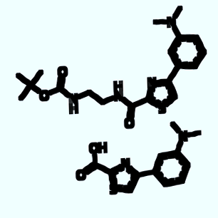 CN(C)c1cccc(-c2csc(C(=O)NCCNC(=O)OC(C)(C)C)n2)c1.CN(C)c1cccc(-c2csc(C(=O)O)n2)c1